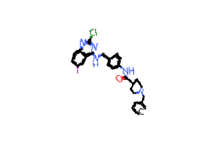 O=C(Nc1ccc(CNc2nc(Cl)nc3ccc(I)cc23)cc1)C1CCN(Cc2ccccc2)CC1